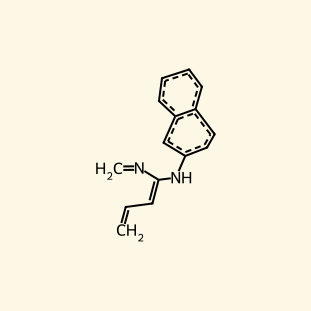 C=C/C=C(\N=C)Nc1ccc2ccccc2c1